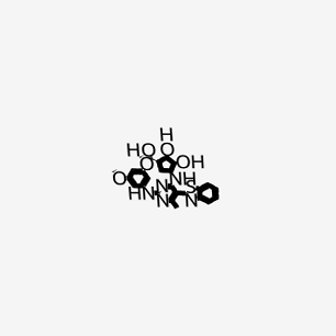 COc1cc(Nc2nc(C)c(-c3nc4ccccc4s3)c(N[C@@H]3C[C@H](CO)[C@@H](O)[C@H]3O)n2)cc(OC)c1